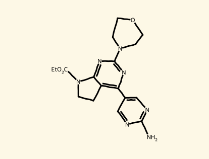 CCOC(=O)N1CCc2c(-c3cnc(N)nc3)nc(N3CCOCC3)nc21